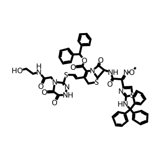 CON=C(C(=O)NC1C(=O)N2C(C(=O)OC(c3ccccc3)c3ccccc3)=C(C=CSc3n[nH]c(=O)c(=O)n3CC(=O)NCCO)CSC12)c1csc(NC(c2ccccc2)(c2ccccc2)c2ccccc2)n1